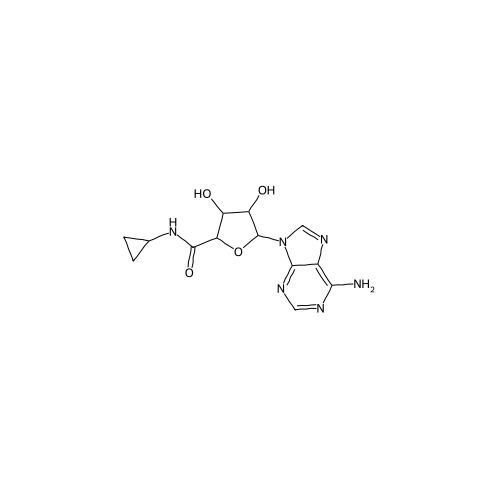 Nc1ncnc2c1ncn2C1OC(C(=O)NC2CC2)C(O)C1O